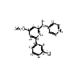 COc1cc(Nc2ccncc2)nc(-c2cccc(Cl)c2)n1